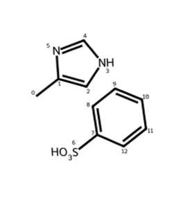 Cc1c[nH]cn1.O=S(=O)(O)c1ccccc1